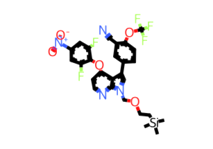 C[Si](C)(C)CCOCn1cc(-c2ccc(OC(F)(F)F)c(C#N)c2)c2c(Oc3c(F)cc([N+](=O)[O-])cc3F)ccnc21